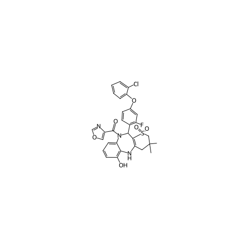 CC1(C)CC2=C(C(c3ccc(Oc4ccccc4Cl)cc3F)N(C(=O)c3cocn3)c3cccc(O)c3N2)S(=O)(=O)C1